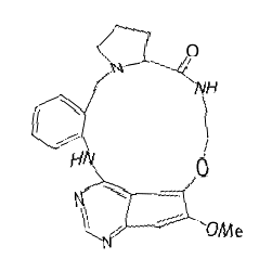 COc1cc2ncnc3c2cc1OCCNC(=O)C1CCCN1Cc1ccccc1N3